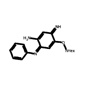 CCCCCCOC1=CC(=Nc2c[c]ccc2)C(N)=CC1=N